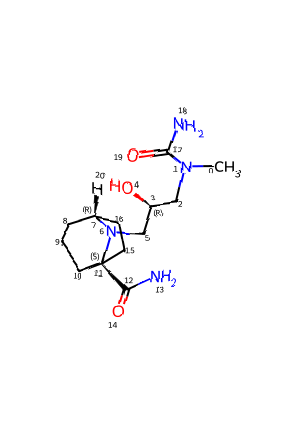 CN(C[C@H](O)CN1[C@@H]2C[CH]C[C@@]1(C(N)=O)CC2)C(N)=O